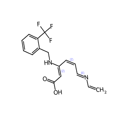 C=C/N=C/C=C\C(=C\C(=O)O)NCc1ccccc1C(F)(F)F